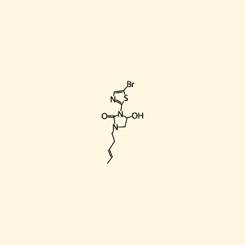 CC=CCCN1CC(O)N(c2ncc(Br)s2)C1=O